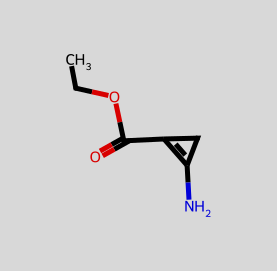 CCOC(=O)C1=C(N)C1